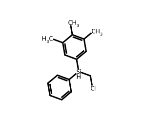 Cc1cc([SiH](CCl)c2ccccc2)cc(C)c1C